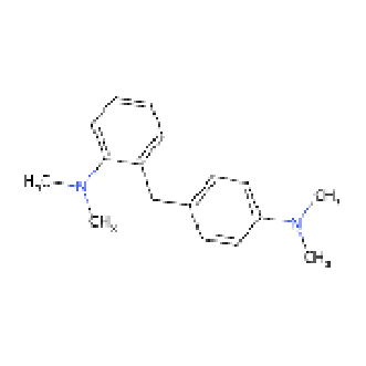 CN(C)c1ccc(Cc2ccccc2N(C)C)cc1